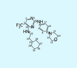 FC(F)(F)c1cnc(Nc2ccc(N3CCOCC3)cc2)nc1NCCC1CCCCC1